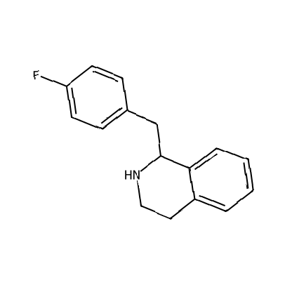 Fc1ccc(CC2NCCc3ccccc32)cc1